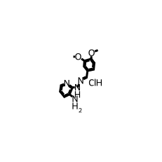 COc1ccc(C=NNc2ncccc2N)cc1OC.Cl